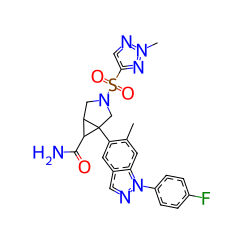 Cc1cc2c(cnn2-c2ccc(F)cc2)cc1C12CN(S(=O)(=O)c3cnn(C)n3)CC1C2C(N)=O